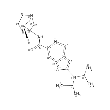 CC(C)N(c1cc2cnc(C(=O)N[C@H]3CN4CCC3CC4)cc2s1)C(C)C